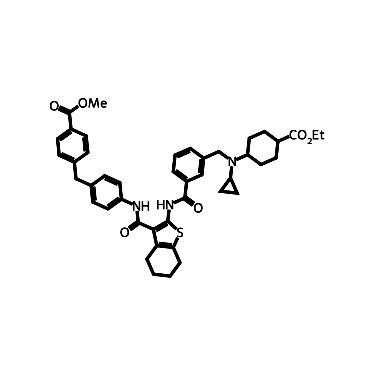 CCOC(=O)C1CCC(N(Cc2cccc(C(=O)Nc3sc4c(c3C(=O)Nc3ccc(Cc5ccc(C(=O)OC)cc5)cc3)CCCC4)c2)C2CC2)CC1